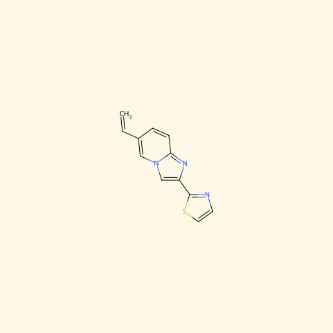 C=Cc1ccc2nc(-c3nccs3)cn2c1